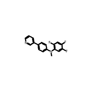 CN(c1ccc(-c2cccnc2)cc1)c1cc(F)c(F)cc1F